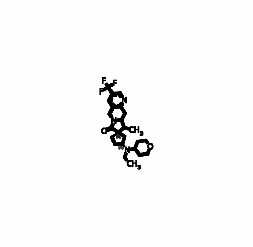 CCN(C1CCOCC1)[C@@H]1CC[C@@]2(C1)C(=O)N1Cc3cc(C(F)(F)F)cnc3CC1C2C